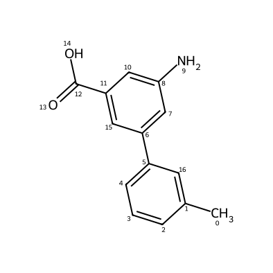 Cc1cccc(-c2cc(N)cc(C(=O)O)c2)c1